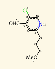 COCCCc1cc(C=O)c(Cl)cn1